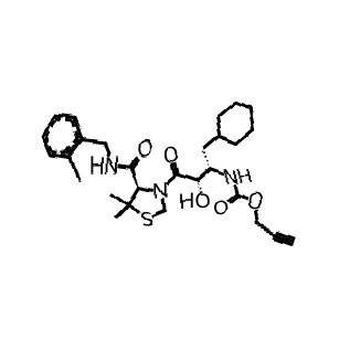 C#CCOC(=O)N[C@@H](CC1CCCCC1)[C@H](O)C(=O)N1CSC(C)(C)[C@H]1C(=O)NCc1ccccc1C